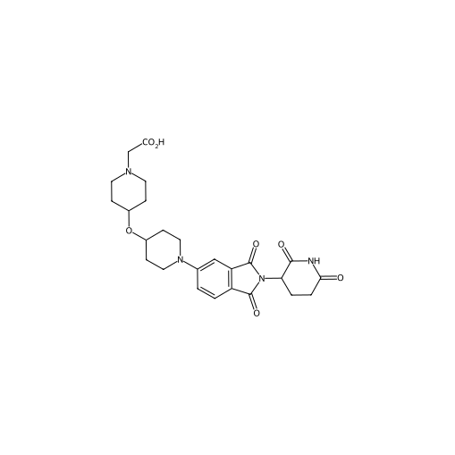 O=C(O)CN1CCC(OC2CCN(c3ccc4c(c3)C(=O)N(C3CCC(=O)NC3=O)C4=O)CC2)CC1